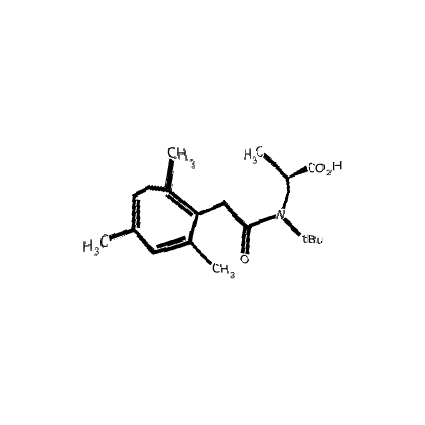 Cc1cc(C)c(CC(=O)N([C@@H](C)C(=O)O)C(C)(C)C)c(C)c1